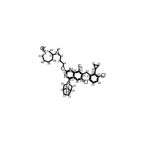 CN(CCCOc1nc(N2CC3CCC(C2)N3)c2cc(Cl)c(Cc3cccc(Cl)c3C3CC3)c(F)c2n1)C1CCCC[S+]([O-])C1